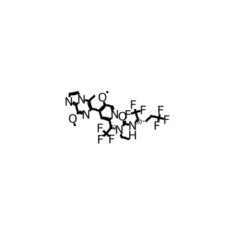 CCN(C(=O)N[C@@H](CCC(F)(F)F)C(F)(F)F)[C@@H](c1cc(-c2nc(OC)c3nccn3c2C)c(OC)cn1)C(F)(F)F